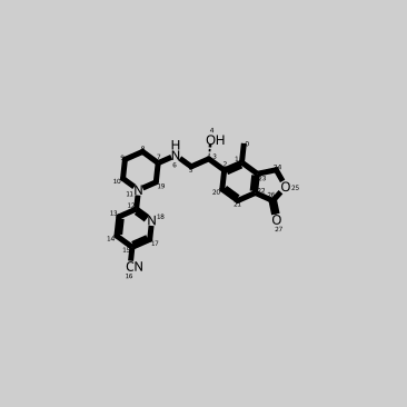 Cc1c([C@@H](O)CNC2CCCN(c3ccc(C#N)cn3)C2)ccc2c1COC2=O